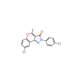 Cc1oc2ccc(Cl)cc2c2nn(-c3ccc(Cl)cc3)c(=O)c1-2